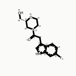 O=C(Cc1c[nH]c2cc(F)ccc12)N1CCO[C@@H](CO)C1